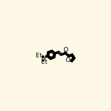 CCN(CC)c1ccc(/C=C/C(=O)c2ccco2)cc1